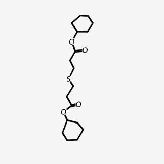 O=C(CCSCCC(=O)OC1CCCCC1)OC1CCCCC1